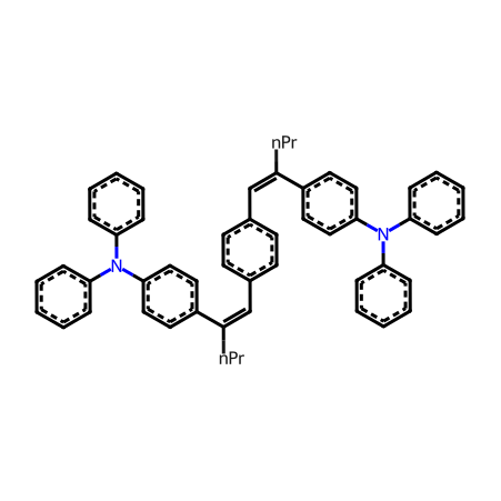 CCCC(=Cc1ccc(C=C(CCC)c2ccc(N(c3ccccc3)c3ccccc3)cc2)cc1)c1ccc(N(c2ccccc2)c2ccccc2)cc1